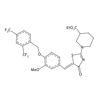 CCOC(=O)C1CCCN(C2=NC(=O)C(=Cc3ccc(OCc4ccc(C(F)(F)F)cc4C(F)(F)F)c(OC)c3)S2)C1